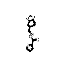 O=C(O/N=C/c1ccc2c(c1)OCO2)c1cccs1